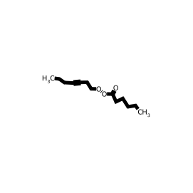 CCCC#CCCOOC(=O)CCCCC